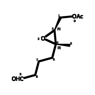 CC(=O)OC[C@@H]1O[C@@]1(C)CCCC=O